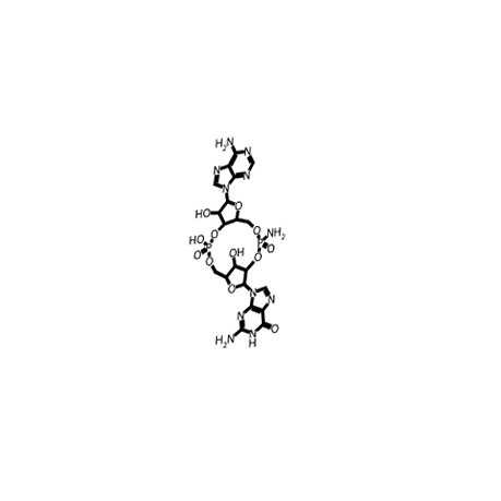 Nc1nc2c(ncn2C2OC3COP(=O)(O)OC4C(COP(N)(=O)OC2C3O)OC(n2cnc3c(N)ncnc32)C4O)c(=O)[nH]1